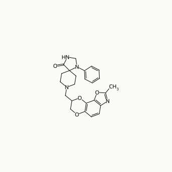 Cc1nc2ccc3c(c2o1)OC(CN1CCC2(CC1)C(=O)NCN2c1ccccc1)CO3